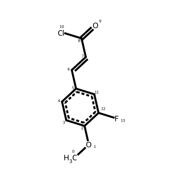 COc1ccc(/C=C/C(=O)Cl)cc1F